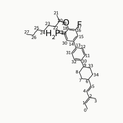 C/C=C(C)/C=C/C1CCC(c2ccc(-c3cc(F)c(OC(C)CCCCCC)c(P)c3)cc2)CC1